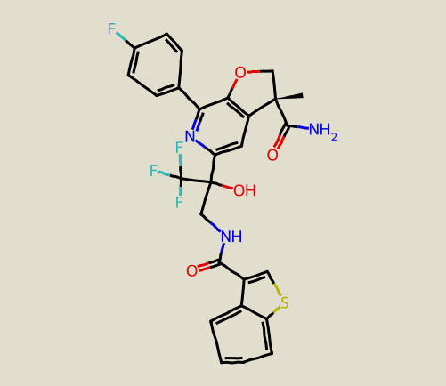 C[C@]1(C(N)=O)COc2c1cc(C(O)(CNC(=O)c1csc3ccccc13)C(F)(F)F)nc2-c1ccc(F)cc1